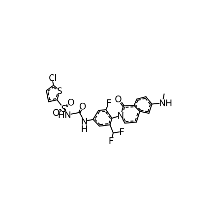 CNc1ccc2c(=O)n(-c3c(F)cc(NC(=O)NS(=O)(=O)c4ccc(Cl)s4)cc3C(F)F)ccc2c1